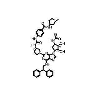 CCC(=O)NC1CC(n2cnc3c(NCC(c4ccccc4)c4ccccc4)nc(N4CC[C@@H](NC(=O)Nc5ccc(C(=O)NC6CCN(C)C6)cc5)C4)nc32)[C@H](O)[C@@H]1O